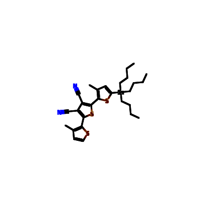 CCC[CH2][Sn]([CH2]CCC)([CH2]CCC)[c]1cc(C)c(-c2sc(-c3sccc3C)c(C#N)c2C#N)s1